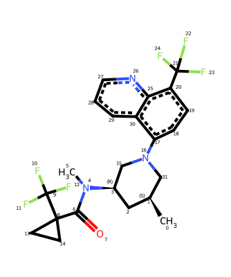 C[C@H]1C[C@@H](N(C)C(=O)C2(C(F)(F)F)CC2)CN(c2ccc(C(F)(F)F)c3ncccc23)C1